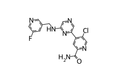 NC(=O)c1cc(-c2cncc(NCc3cncc(F)c3)n2)c(Cl)cn1